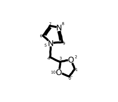 [CH]1COC(Cn2ccnc2)O1